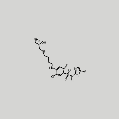 NCC(O)CNCCCCNC1=C[C@@H](F)C(S(=O)(=O)Nc2ncc(F)s2)C=C1Cl